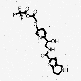 O=C(COc1ccc(C(O)CNC(=O)c2cc3c(s2)CCNC3)nc1)OC(=O)C(F)(F)F